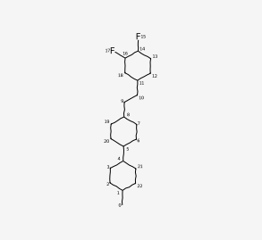 CC1CCC(C2CCC(CCC3CCC(F)C(F)C3)CC2)CC1